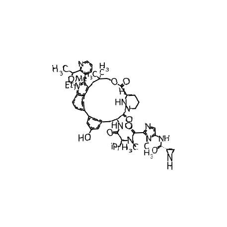 CCn1c(-c2cccnc2[C@H](C)OC)c2c3cc(ccc31)-c1cc(O)cc(c1)C[C@H](NC(=O)C(C(C)C)N(C)C(=O)c1ncc(NC(=O)[C@@H]3CN3)n1C)C(=O)N1CCC[C@H](N1)C(=O)OCC(C)(C)C2